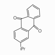 CC(C)c1ccc2c(c1)C(=O)c1ccccc1C2=O